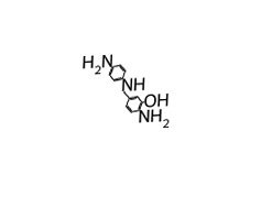 Nc1ccc(NCc2ccc(N)c(O)c2)cc1